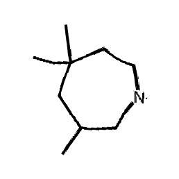 CC1C[N]CCC(C)(C)C1